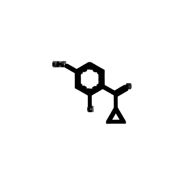 O=Cc1ccc(C(=O)C2CC2)c(Cl)c1